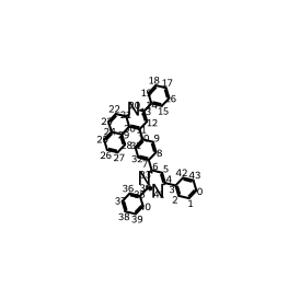 c1ccc(-c2cc(-c3ccc(-c4cc(-c5ccccc5)nc5ccc6ccccc6c45)cc3)nc(-c3ccccc3)n2)cc1